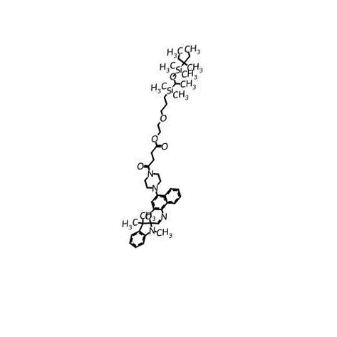 CCC(C)(CC)[Si](C)(C)OC(C)[Si](C)(C)CCCOCCOC(=O)CCC(=O)N1CCN(c2cc3c(c4ccccc24)N=CC2(O3)N(C)c3ccccc3C2(C)C)CC1